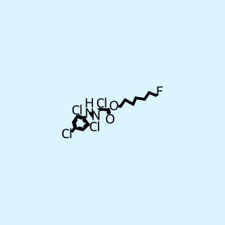 O=C(OCCCCCCCF)C(Cl)=NNc1c(Cl)cc(Cl)cc1Cl